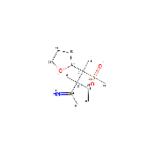 CCC(C)(C(C)=N)C(C)(C1CCCO1)S(C)(=O)=O